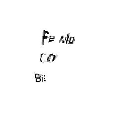 [Bi].[Co].[Fe].[Mo]